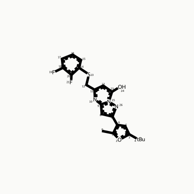 Cc1oc(C(C)(C)C)cc1-c1cc2nc(CSc3cccc(F)c3F)cc(O)n2n1